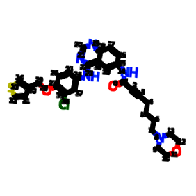 O=C(C#CCCCCN1CCOCC1)Nc1ccc2ncnc(Nc3ccc(OCc4ccsc4)c(Cl)c3)c2c1